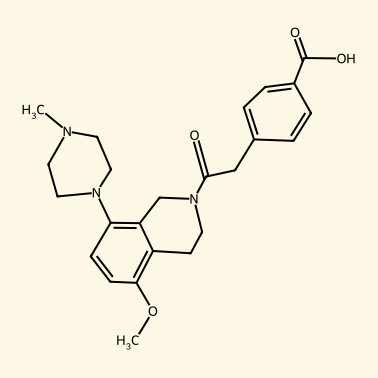 COc1ccc(N2CCN(C)CC2)c2c1CCN(C(=O)Cc1ccc(C(=O)O)cc1)C2